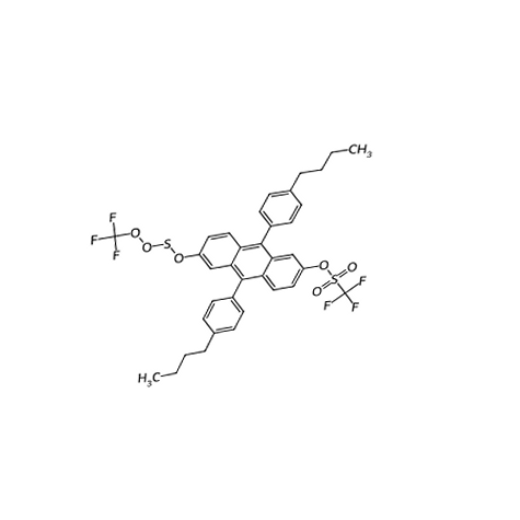 CCCCc1ccc(-c2c3ccc(OS(=O)(=O)C(F)(F)F)cc3c(-c3ccc(CCCC)cc3)c3ccc(OSOOC(F)(F)F)cc23)cc1